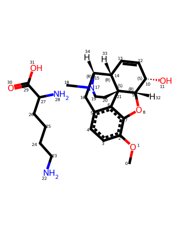 COc1ccc2c3c1O[C@H]1[C@@H](O)C=C[C@H]4[C@@H](C2)N(C)CC[C@@]341.NCCCCC(N)C(=O)O